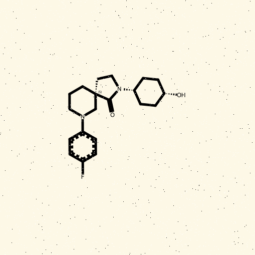 O=C1N([C@H]2CC[C@@H](O)CC2)CC[C@]12CCCN(c1ccc(F)cc1)C2